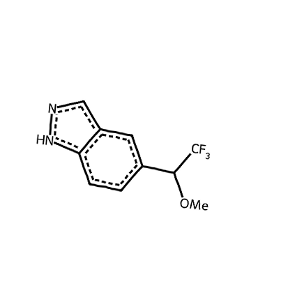 COC(c1ccc2[nH]ncc2c1)C(F)(F)F